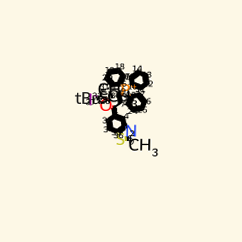 Cc1nc2cc([C@H](CC[P+](c3ccccc3)(c3ccccc3)c3ccccc3)O[Si](C)(C)C(C)(C)C)ccc2s1.[I-]